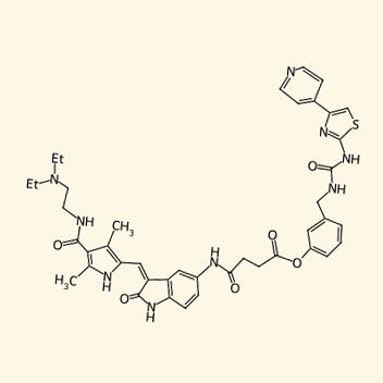 CCN(CC)CCNC(=O)c1c(C)[nH]c(/C=C2\C(=O)Nc3ccc(NC(=O)CCC(=O)Oc4cccc(CNC(=O)Nc5nc(-c6ccncc6)cs5)c4)cc32)c1C